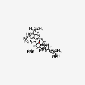 Br.Br.CC1(C)Cc2nc(C3CCN(c4ncc(OCC(C)(CO)CO)cn4)CC3)c([C@@H](F)c3ccc(C(F)(F)F)cc3)c(C3CCC(F)(F)CC3)c2[C@@H](O)C1